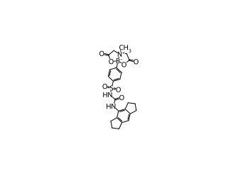 C[N+]12CC(=O)O[B-]1(c1ccc(S(=O)(=O)NC(=O)Nc3c4c(cc5c3CCC5)CCC4)cc1)OC(=O)C2